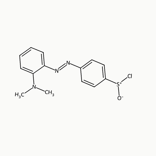 CN(C)c1ccccc1N=Nc1ccc([S+]([O-])Cl)cc1